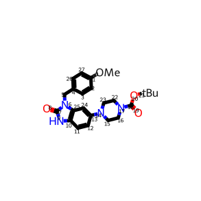 COc1ccc(Cn2c(=O)[nH]c3ccc(N4CCN(C(=O)OC(C)(C)C)CC4)cc32)cc1